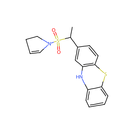 CC(c1ccc2c(c1)Nc1ccccc1S2)S(=O)(=O)N1C=CCC1